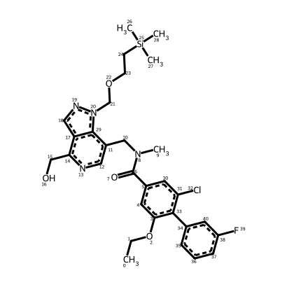 CCOc1cc(C(=O)N(C)Cc2cnc(CO)c3cnn(COCC[Si](C)(C)C)c23)cc(Cl)c1-c1cccc(F)c1